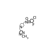 Cc1ncc(CN2CCC(CNC(=O)c3cc(F)cc(Cl)c3)CC2)cn1